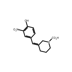 O=C(O)N1CCCC(=Cc2ccc(O)c([N+](=O)[O-])c2)C1